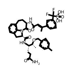 C/C(=C\C(=O)N[C@H]1CCc2cccc3c2N(C1=O)[C@H](C(=O)N[C@@H](CCC(N)=O)[C@@H](C)OCc1ccc(C)cc1)C3)c1cccc(C(F)(F)P(=O)(O)O)c1